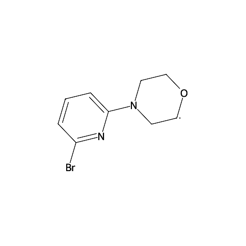 Brc1cccc(N2C[CH]OCC2)n1